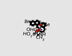 CCC(C=O)N(C(=O)O)[C@@H](C)N[C@H]1CCc2ccccc2N(Cc2c(OC)ccc3cc(Br)ccc23)C1=O